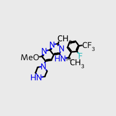 COc1nc2nc(C)nc(N[C@H](C)c3cccc(C(F)(F)F)c3F)c2cc1N1CCNCC1